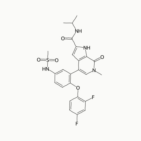 CC(C)NC(=O)c1cc2c(-c3cc(NS(C)(=O)=O)ccc3Oc3ccc(F)cc3F)cn(C)c(=O)c2[nH]1